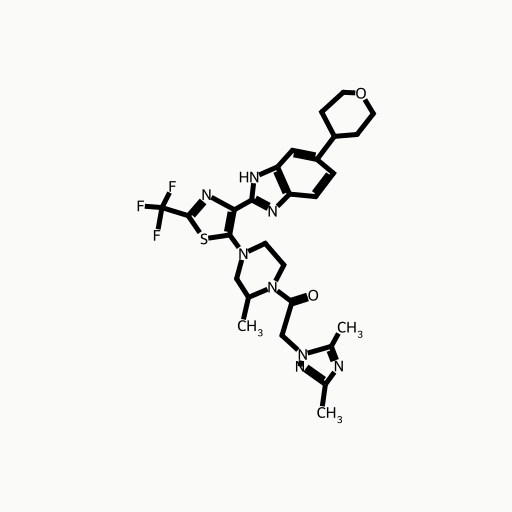 Cc1nc(C)n(CC(=O)N2CCN(c3sc(C(F)(F)F)nc3-c3nc4ccc(C5CCOCC5)cc4[nH]3)CC2C)n1